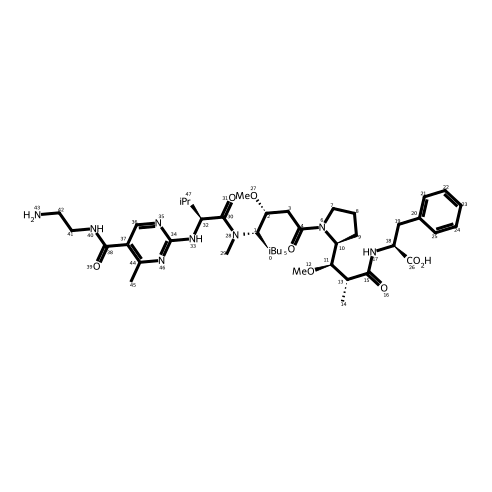 CC[C@H](C)[C@@H]([C@@H](CC(=O)N1CCC[C@H]1[C@H](OC)[C@@H](C)C(=O)N[C@@H](Cc1ccccc1)C(=O)O)OC)N(C)C(=O)[C@@H](Nc1ncc(C(=O)NCCN)c(C)n1)C(C)C